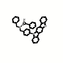 c1ccc(CN(Cc2ccc(-n3c4ccccc4c4cc5oc6ccccc6c5cc43)cc2)N2NC2c2ccccc2)cc1